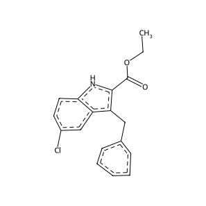 CCOC(=O)c1[nH]c2ccc(Cl)cc2c1Cc1ccccc1